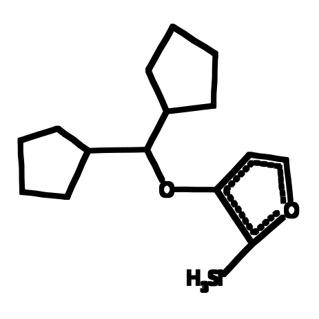 [SiH3]c1occc1OC(C1CCCC1)C1CCCC1